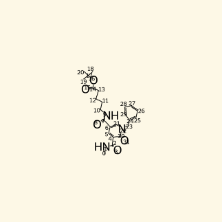 CNC(=O)c1cc(C(=O)NCCCCC(=O)OC(C)(C)C)cn(Cc2ccccc2)c1=O